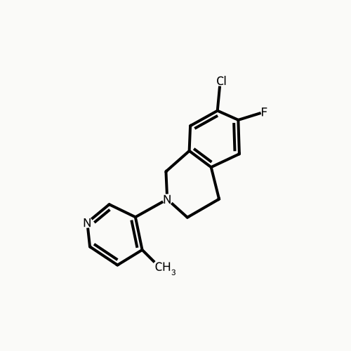 Cc1ccncc1N1CCc2cc(F)c(Cl)cc2C1